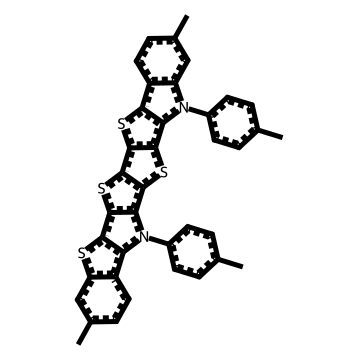 Cc1ccc(-n2c3cc(C)ccc3c3sc4c5sc6c7sc8cc(C)ccc8c7n(-c7ccc(C)cc7)c6c5sc4c32)cc1